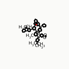 Cc1cc2c3c(c1)N(c1ccc(C(C)(C)C)cc1)c1cc4c(cc1B3c1ccc(N(c3ccccc3)c3ccccc3)cc1N2c1cc(-c2ccc3c(c2)C(C)(C)c2ccccc2-3)cc(-c2cc3ccccc3o2)c1)OCO4